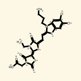 CCCCN1/C(=C/C=c2/s/c(=C3\SC(=S)N(CC(=O)O)C3=O)n(CC)c2=O)Sc2cc(Cl)c(Cl)cc21